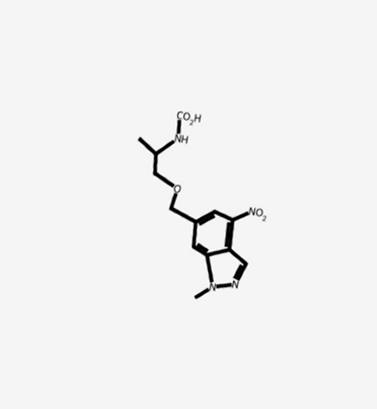 CC(COCc1cc([N+](=O)[O-])c2cnn(C)c2c1)NC(=O)O